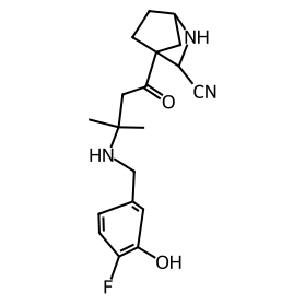 CC(C)(CC(=O)C12CCC(C1)NC2C#N)NCc1ccc(F)c(O)c1